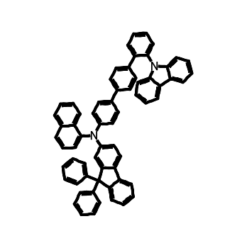 c1ccc(C2(c3ccccc3)c3ccccc3-c3ccc(N(c4ccc(-c5ccc(-c6ccccc6-n6c7ccccc7c7ccccc76)cc5)cc4)c4cccc5ccccc45)cc32)cc1